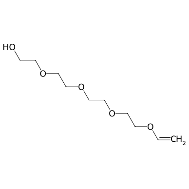 C=COCCOCCOCCOCCO